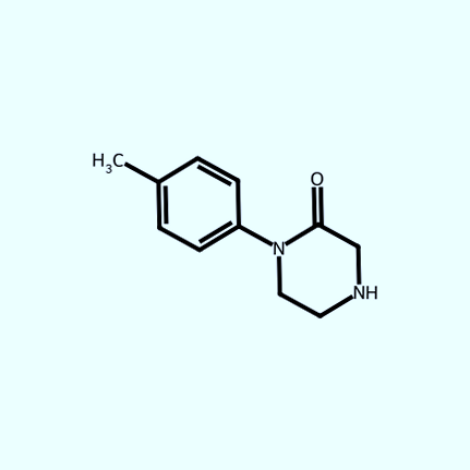 Cc1ccc(N2CCNCC2=O)cc1